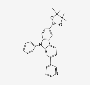 CC1(C)OB(c2ccc3c(c2)c2ccc(-c4cccnc4)cc2n3-c2ccccc2)OC1(C)C